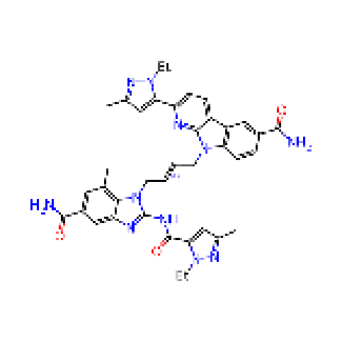 CCn1nc(C)cc1C(=O)Nc1nc2cc(C(N)=O)cc(C)c2n1C/C=C/Cn1c2ccc(C(N)=O)cc2c2ccc(-c3cc(C)nn3CC)nc21